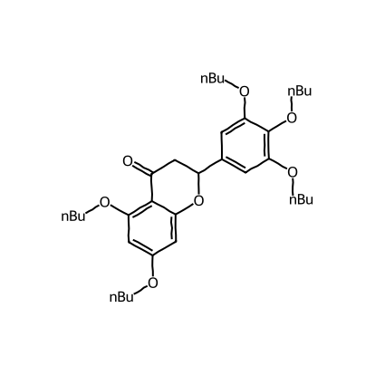 CCCCOc1cc(OCCCC)c2c(c1)OC(c1cc(OCCCC)c(OCCCC)c(OCCCC)c1)CC2=O